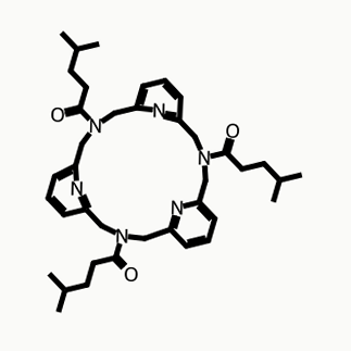 CC(C)CCC(=O)N1Cc2cccc(n2)CN(C(=O)CCC(C)C)Cc2cccc(n2)CN(C(=O)CCC(C)C)Cc2cccc(n2)C1